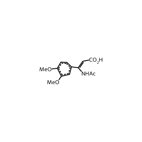 COc1ccc(C(=CC(=O)O)NC(C)=O)cc1OC